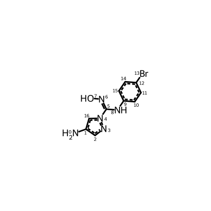 Nc1cnn(C(=NO)Nc2ccc(Br)cc2)c1